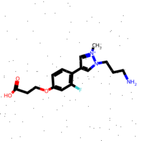 C[n+]1cc(-c2ccc(OCCC(=O)O)cc2F)cn1CCCN